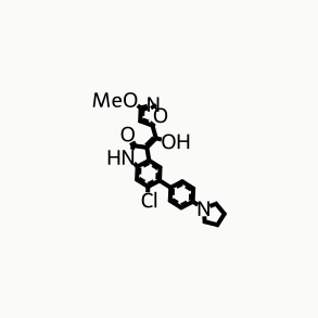 COc1cc(C(O)=C2C(=O)Nc3cc(Cl)c(-c4ccc(N5CCCC5)cc4)cc32)on1